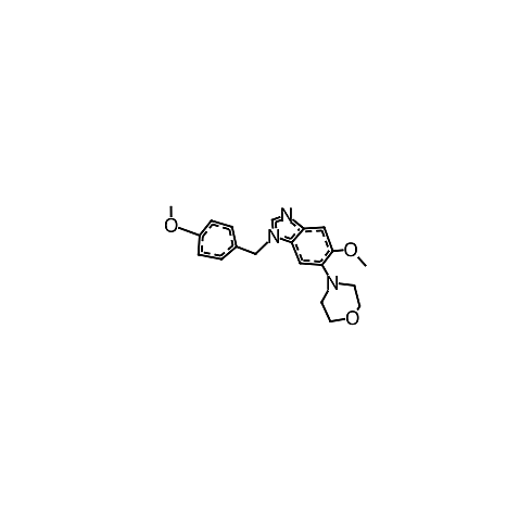 COc1ccc(Cn2cnc3cc(OC)c(N4CCOCC4)cc32)cc1